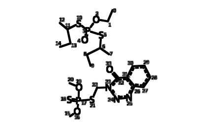 CCOP(=O)(SC(C)CC)SC(C)CC.COP(=S)(OC)SCn1nnc2ccccc2c1=O